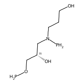 OCCCN(P)C[C@H](O)COP